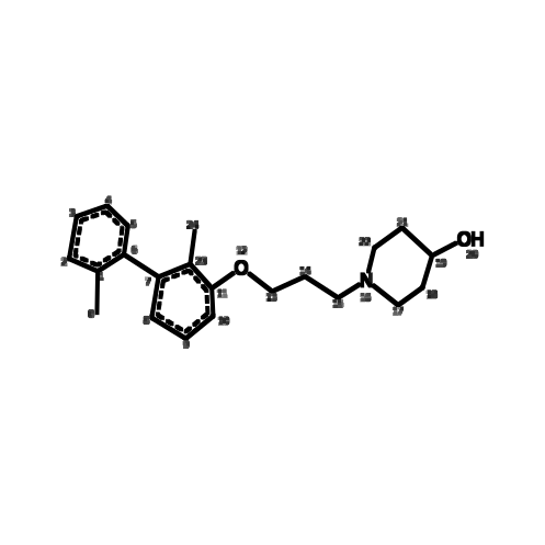 Cc1ccccc1-c1cccc(OCCCN2CCC(O)CC2)c1C